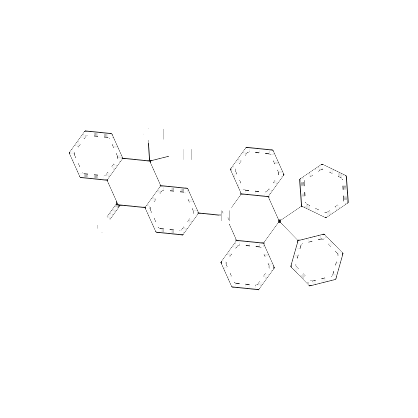 CC1(C)c2ccccc2C(=O)c2ccc(N3c4ccccc4C(c4ccccc4)(c4ccccc4)c4ccccc43)cc21